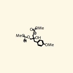 COc1ccc(CC(O)(CO[PH](=O)OC)CO[PH](=O)OC)cc1